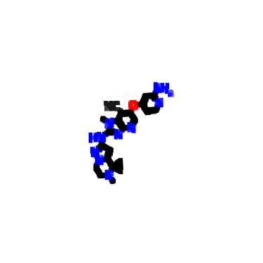 CN1CCn2nc(Nc3nc4ncc(Oc5ccnc(N)c5)c(C#N)c4n3C)cc2C12CC2